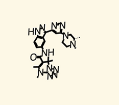 CC1=C(C(=O)Nc2ccc3[nH]nc(-c4cc(N5CCN(C)[C@@H](C)C5)ncn4)c3c2)C(C)(C)n2nnnc2N1C